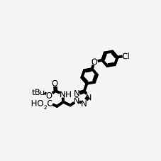 CC(C)(C)OC(=O)NC(CC(=O)O)Cn1nnc(-c2ccc(Oc3ccc(Cl)cc3)cc2)n1